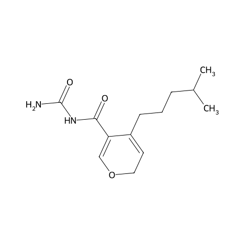 CC(C)CCCC1=CCOC=C1C(=O)NC(N)=O